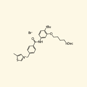 CCCCCCCCCCCCCCOc1cc(NC(=O)c2ccc(C[n+]3csc(C)c3)cc2)ccc1C(C)(C)C.[Br-]